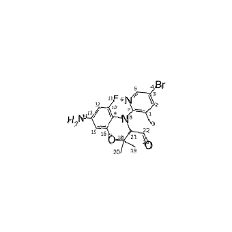 Cc1cc(Br)cnc1N1c2c(F)cc(N)cc2OC(C)(C)C1C=O